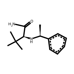 C[C@H](N[C@H](C(N)=O)C(C)(C)C)c1ccccc1